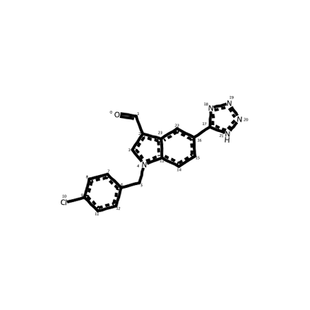 O=Cc1cn(Cc2ccc(Cl)cc2)c2ccc(-c3nnn[nH]3)cc12